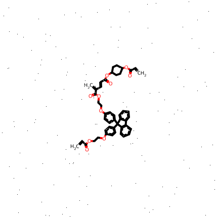 C=CC(=O)OCCOc1ccc(C2(c3ccc(OCCOC(=O)C(=C)/C=C/C(=O)OC4CCC(OC(=O)C=C)CC4)cc3)c3ccccc3-c3ccccc32)cc1